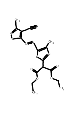 CCOC(=O)C(C(=O)OCC)c1nc(C)c(/N=N/c2snc(C)c2C#N)s1